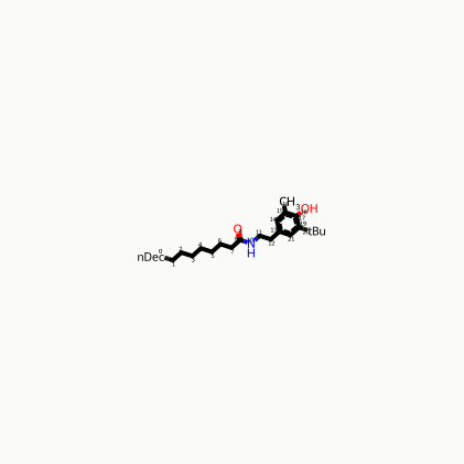 CCCCCCCCCCCCCCCCCC(=O)NCCc1cc(C)c(O)c(C(C)(C)C)c1